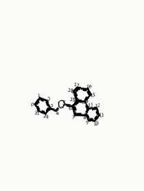 c1ccc(COc2cc3ccccc3c3ccccc23)cc1